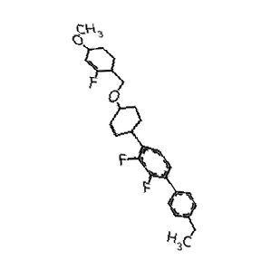 CCc1ccc(-c2ccc(C3CCC(OCC4CCC(OC)C=C4F)CC3)c(F)c2F)cc1